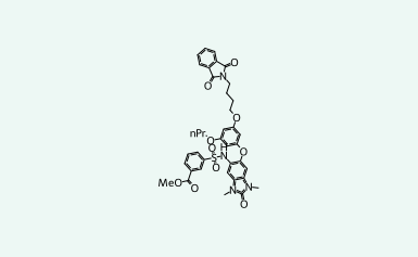 CCCOc1cc(OCCCCN2C(=O)c3ccccc3C2=O)cc(Oc2cc3c(cc2NS(=O)(=O)c2cccc(C(=O)OC)c2)n(C)c(=O)n3C)c1